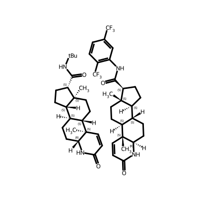 CC(C)(C)NC(=O)[C@H]1CC[C@H]2[C@@H]3CC[C@H]4NC(=O)C=C[C@]4(C)[C@H]3CC[C@]12C.C[C@]12C=CC(=O)N[C@@H]1CC[C@@H]1[C@@H]2CC[C@]2(C)[C@@H](C(=O)Nc3cc(C(F)(F)F)ccc3C(F)(F)F)CC[C@@H]12